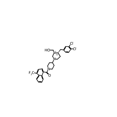 O=C(c1ccc(C(F)(F)F)c2ccccc12)N1CCC(N2CC[C@H](Cc3ccc(Cl)c(Cl)c3)[C@H](CO)C2)CC1